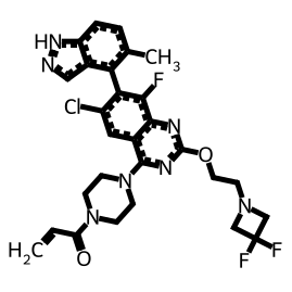 C=CC(=O)N1CCN(c2nc(OCCN3CC(F)(F)C3)nc3c(F)c(-c4c(C)ccc5[nH]ncc45)c(Cl)cc23)CC1